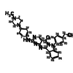 CN1CCN(c2ccc(Nc3ncc4c(=O)n5c(nc4n3)c3ccccc3n5-c3ccc(CO)cc3)cc2)CC1